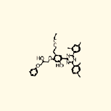 CCCCCCc1cc(-c2nc(-c3ccc(C)cc3C)nc(-c3ccc(C)cc3C)n2)c(O)cc1OCC(O)COc1ccccc1